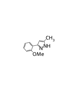 COc1ccccc1-c1cc(C)[nH]n1